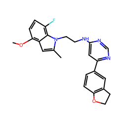 COc1ccc(F)c2c1cc(C)n2CCNc1cc(-c2ccc3c(c2)CCO3)ncn1